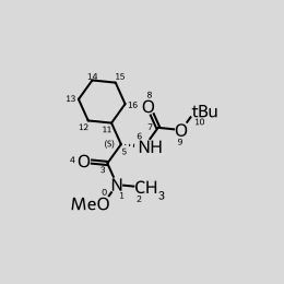 CON(C)C(=O)[C@@H](NC(=O)OC(C)(C)C)C1CCCCC1